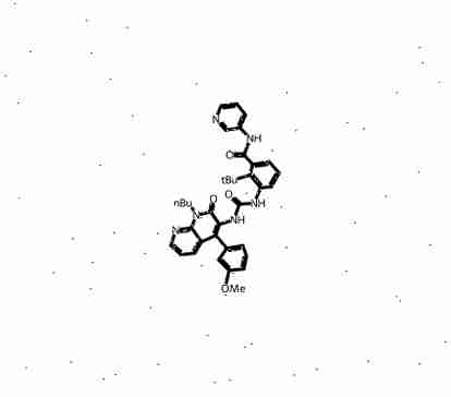 CCCCn1c(=O)c(NC(=O)Nc2cccc(C(=O)Nc3cccnc3)c2C(C)(C)C)c(-c2cccc(OC)c2)c2cccnc21